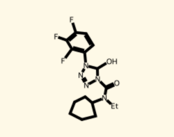 CCN(C(=O)N1N=NN(c2ccc(F)c(F)c2F)C1O)C1CCCCC1